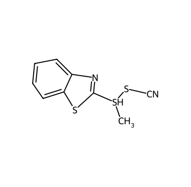 C[SH](SC#N)c1nc2ccccc2s1